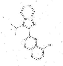 CC(C)n1c(-c2ccc3cccc(O)c3n2)nc2ccccc21